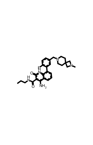 CCCNC(=O)c1c(N)c2cccc(-c3cc(CN4CCC5(CC4)CN(C)C5)ccc3F)c2[nH]c1=O